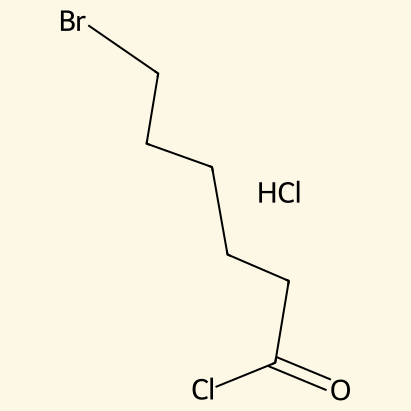 Cl.O=C(Cl)CCCCCBr